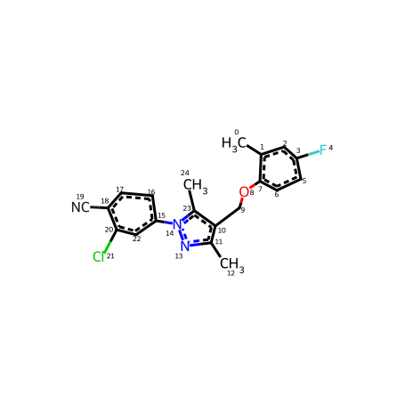 Cc1cc(F)ccc1OCc1c(C)nn(-c2ccc(C#N)c(Cl)c2)c1C